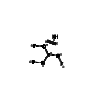 C=C.FOB(OF)OF.[KH]